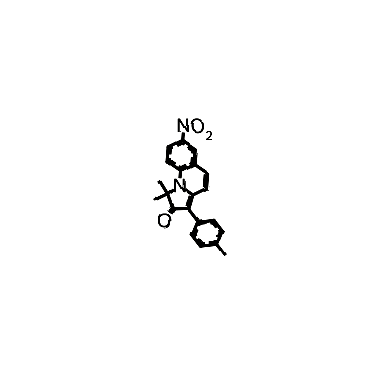 Cc1ccc(C2=C3C=Cc4cc([N+](=O)[O-])ccc4N3C(C)(C)C2=O)cc1